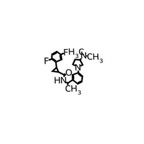 CC(NC(=O)C1CC1c1cc(F)ccc1F)c1cccc(N2CCC(N(C)C)C2)c1